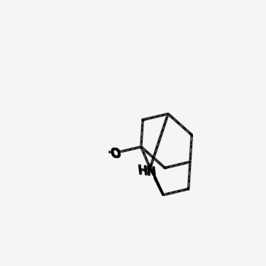 [O]C12CC3CC(CC(C3)N1)C2